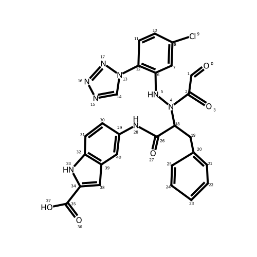 O=CC(=O)N(Nc1cc(Cl)ccc1-n1cnnn1)C(Cc1ccccc1)C(=O)Nc1ccc2[nH]c(C(=O)O)cc2c1